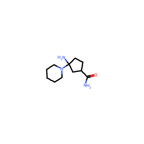 NC(=O)C1CCC(N)(N2CCCCC2)C1